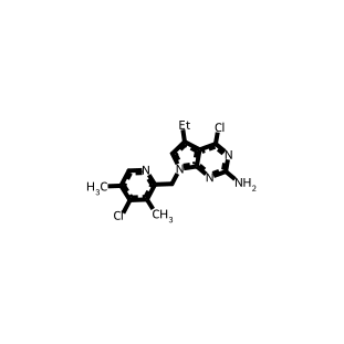 CCc1cn(Cc2ncc(C)c(Cl)c2C)c2nc(N)nc(Cl)c12